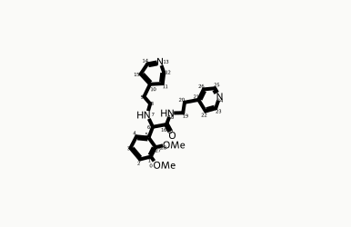 COc1cccc(C(NCCc2ccncc2)C(=O)NCCc2ccncc2)c1OC